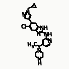 CC(c1ccnc(Nc2nc3cc(Cl)c(-c4cnn(CC5CC5)c4)cc3[nH]2)c1)N1CCNCC1